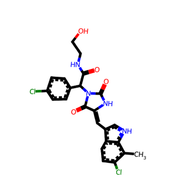 Cc1c(Cl)ccc2c(/C=C3\NC(=O)N(C(C(=O)NCCO)c4ccc(Cl)cc4)C3=O)c[nH]c12